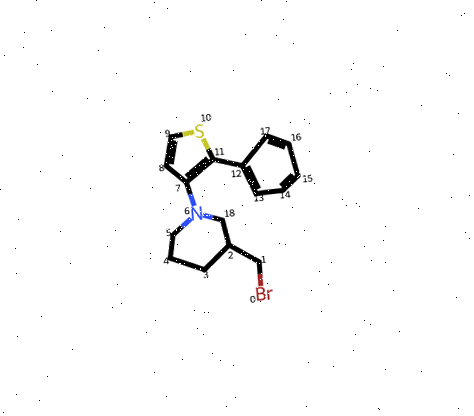 BrCC1CCCN(c2ccsc2-c2ccccc2)C1